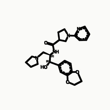 O=C(N[C@H](CN1CCCC1)[C@H](O)c1ccc2c(c1)OCCO2)C1CCN(c2ccccn2)C1